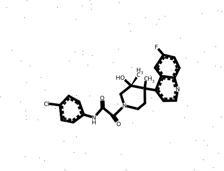 CC1(c2ccnc3ccc(F)cc23)CCN(C(=O)C(=O)Nc2ccc(Cl)cc2)C[C@]1(C)O